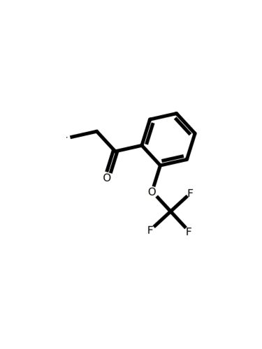 [CH2]CC(=O)c1ccccc1OC(F)(F)F